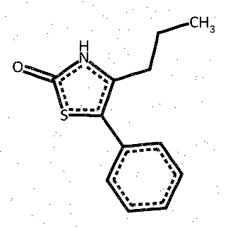 CCCc1[nH]c(=O)sc1-c1ccccc1